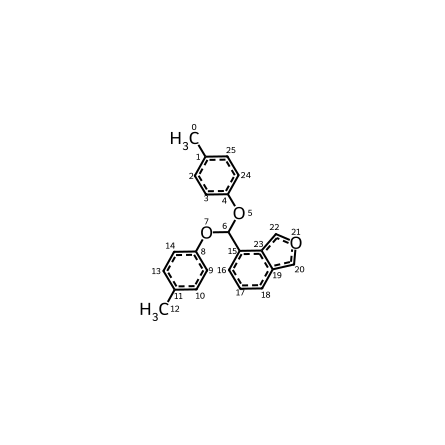 Cc1ccc(OC(Oc2ccc(C)cc2)c2cccc3cocc23)cc1